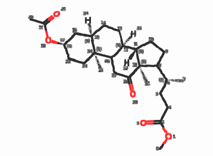 COC(=O)CC[C@@H](C)C1CC[C@H]2[C@@H]3CC[C@@H]4C[C@H](OC(C)=O)CC[C@]4(C)C3CC(=O)[C@]12C